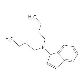 CCCCP(CCCC)[C]1C=Cc2ccccc21